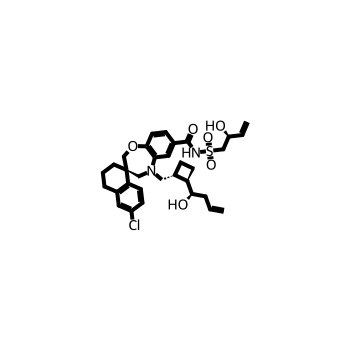 C=CC[C@@H](O)[C@@H]1CC[C@H]1CN1C[C@@]2(CCCc3cc(Cl)ccc32)COc2ccc(C(=O)NS(=O)(=O)C[C@@H](O)C=C)cc21